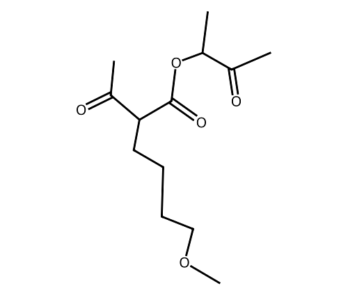 COCCCCC(C(C)=O)C(=O)OC(C)C(C)=O